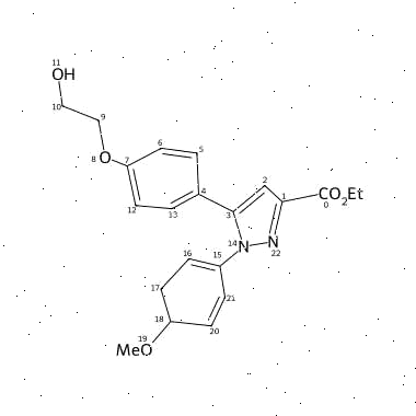 CCOC(=O)c1cc(-c2ccc(OCCO)cc2)n(C2=CCC(OC)C=C2)n1